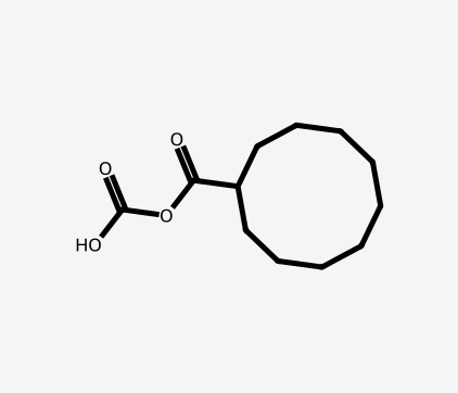 O=C(O)OC(=O)C1CCCCCCCCC1